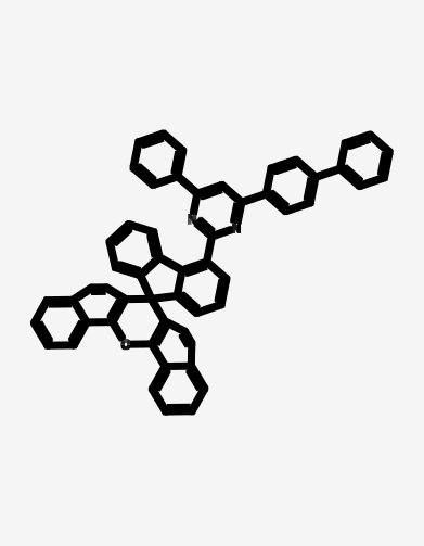 c1ccc(-c2ccc(-c3cc(-c4ccccc4)nc(-c4cccc5c4-c4ccccc4C54c5ccc6ccccc6c5Oc5c4ccc4ccccc54)n3)cc2)cc1